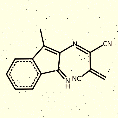 C=C(C#N)/C(C#N)=N\C1=C(C)c2ccccc2C1=N